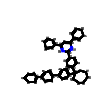 C1=CC(c2ccc(-c3ccc(C4(c5ccc(-c6nc(C7=CCCC=C7)cc(-c7ccccc7)n6)cc5)CCCCCC4)cc3)cc2)=CCC1